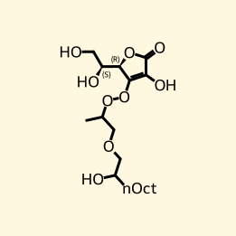 CCCCCCCCC(O)COCC(C)OOC1=C(O)C(=O)O[C@@H]1[C@@H](O)CO